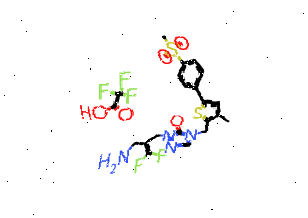 Cc1cc(-c2ccc(S(C)(=O)=O)cc2)sc1Cn1cnn(CC(CN)=C(F)F)c1=O.O=C(O)C(F)(F)F